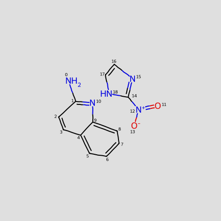 Nc1ccc2ccccc2n1.O=[N+]([O-])c1ncc[nH]1